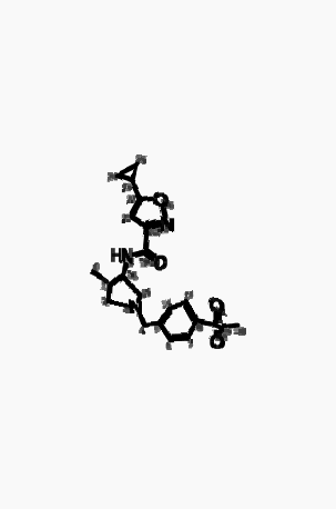 C[C@@H]1CN(Cc2ccc(S(C)(=O)=O)cc2)C[C@@H]1NC(=O)c1cc(C2CC2)on1